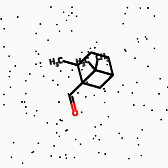 CC1CCC2CC1(C=O)C2(C)C